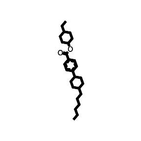 CCCCCCC1CCC(c2ccc(C(=O)OC3CCC(CC)CC3)cc2)CC1